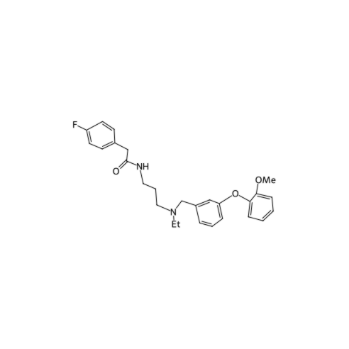 CCN(CCCNC(=O)Cc1ccc(F)cc1)Cc1cccc(Oc2ccccc2OC)c1